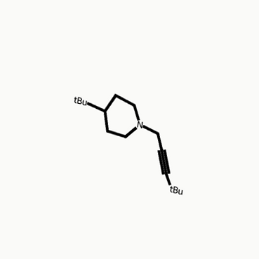 CC(C)(C)C#CCN1CCC(C(C)(C)C)CC1